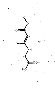 COC(=O)/C=C(\C)NCC(=O)O.[KH]